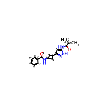 CC(C)C(=O)Nc1cc(C2CC(NC(=O)c3ccccc3)C2)n[nH]1